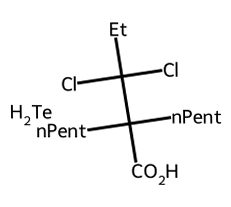 CCCCCC(CCCCC)(C(=O)O)C(Cl)(Cl)CC.[TeH2]